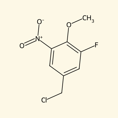 COc1c(F)cc(CCl)cc1[N+](=O)[O-]